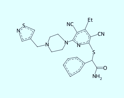 CCc1c(C#N)c(SC(C(N)=O)c2ccccc2)nc(N2CCN(Cc3cnsc3)CC2)c1C#N